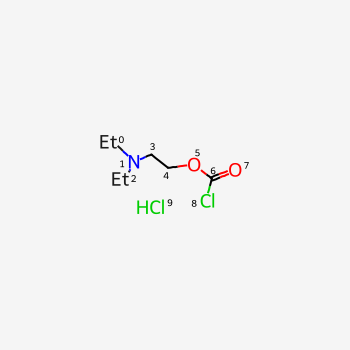 CCN(CC)CCOC(=O)Cl.Cl